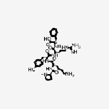 N=C(N)NCCC[C@@H](NC(=O)[C@@H](Cc1ccc(O)cc1)NC(=O)[C@@H](CCCCN)NC(=O)[C@H]1CCCN1)C(=O)N[C@@H](Cc1ccccc1)C(=O)O